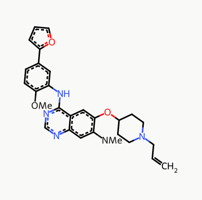 C=CCN1CCC(Oc2cc3c(Nc4cc(-c5ccco5)ccc4OC)ncnc3cc2NC)CC1